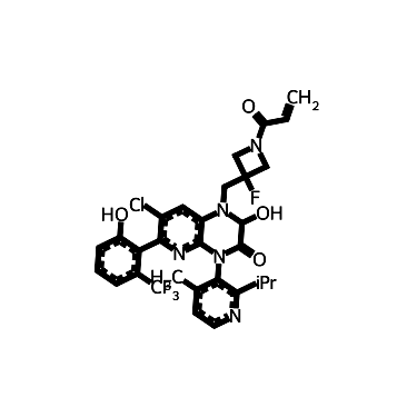 C=CC(=O)N1CC(F)(CN2c3cc(Cl)c(-c4c(O)cccc4C(F)(F)F)nc3N(c3c(C)ccnc3C(C)C)C(=O)C2O)C1